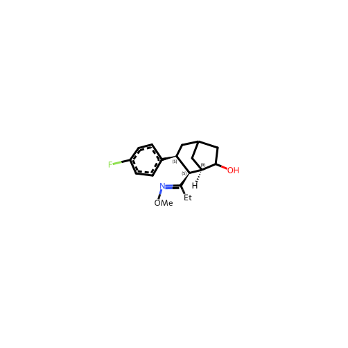 CCC(=NOC)[C@H]1[C@@H](c2ccc(F)cc2)CC2CC(O)[C@@H]1C2